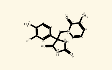 Cc1ccc(C2(Cn3cccc(C)c3=O)NC(=O)NC2=O)cc1F